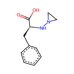 O=C(O)[C@H](Cc1ccccc1)NN1CC1